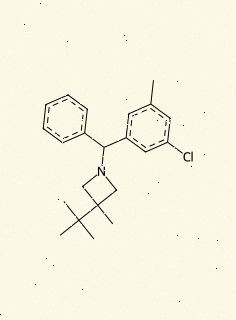 Cc1cc(Cl)cc(C(c2ccccc2)N2CC(C)(C(C)(C)C)C2)c1